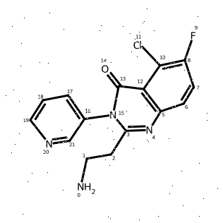 NCCc1nc2ccc(F)c(Cl)c2c(=O)n1-c1cccnc1